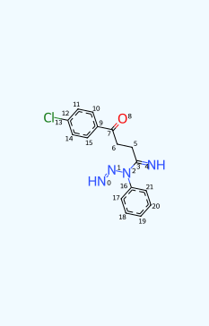 N=NN(C(=N)CCC(=O)c1ccc(Cl)cc1)c1ccccc1